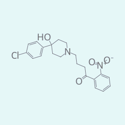 O=C(CCCN1CCC(O)(c2ccc(Cl)cc2)CC1)c1ccccc1[N+](=O)[O-]